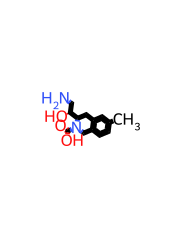 Cc1ccc2c(c1)CC([C@H](O)CN)N(C(=O)O)C2